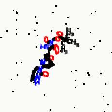 CC(C)(C)C(=O)OCN1C(=O)N[C@@H](c2cc3nc(N4CCCNC4=O)ccc3o2)C1=O